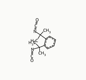 CC(C)(N=C=O)c1ccccc1C(C)(C)N=C=O